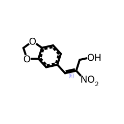 O=[N+]([O-])/C(=C/c1ccc2c(c1)OCO2)CO